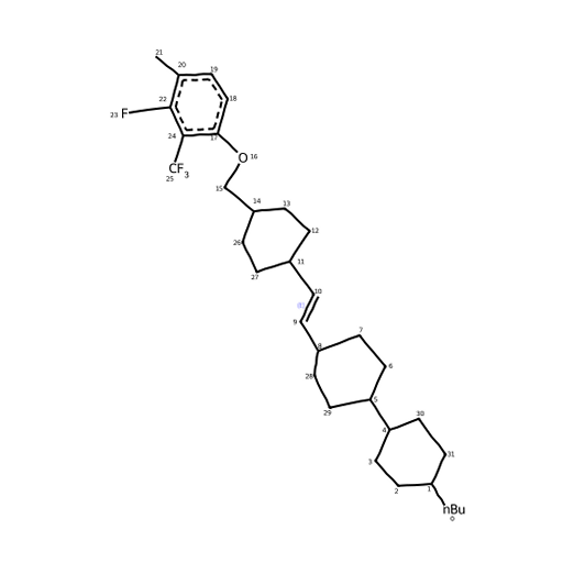 CCCCC1CCC(C2CCC(/C=C/C3CCC(COc4ccc(C)c(F)c4C(F)(F)F)CC3)CC2)CC1